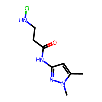 Cc1cc(NC(=O)CCNCl)nn1C